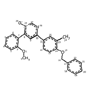 COc1ccccc1-c1cc(-c2ccc(OCc3ccccc3)c(C)c2)nc[n+]1[O-]